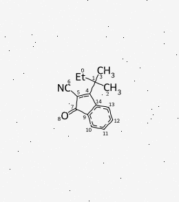 CCC(C)(C)C1=C(C#N)C(=O)c2ccccc21